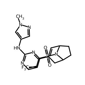 Cn1cc(Nc2nccc(C3=CC4CCC(C3)N4S(=O)(=O)CCC(F)(F)F)n2)cn1